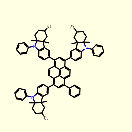 CCC1CCC2(C)N(c3ccccc3)c3ccc(-c4cc(-c5ccccc5)c5ccc6c(-c7ccc8c(c7)C7(C)CC(CC)CCC7(C)N8c7ccccc7)cc(-c7ccc8c(c7)C7(C)CC(CC)CCC7(C)N8c7ccccc7)c7ccc4c5c67)cc3C2(C)C1